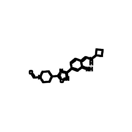 N=C1C=C(c2noc(C3CCN(C=O)CC3)n2)C=C/C1=C/NC1CCC1